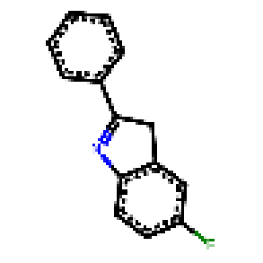 Fc1ccc2c(c1)CC(c1ccccc1)=N2